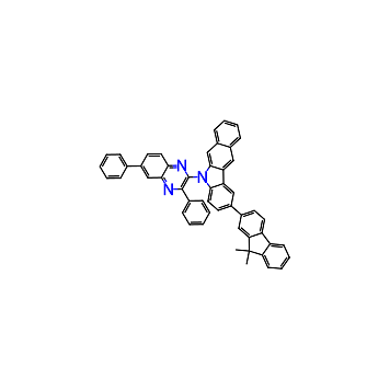 CC1(C)c2ccccc2-c2ccc(-c3ccc4c(c3)c3cc5ccccc5cc3n4-c3nc4ccc(-c5ccccc5)cc4nc3-c3ccccc3)cc21